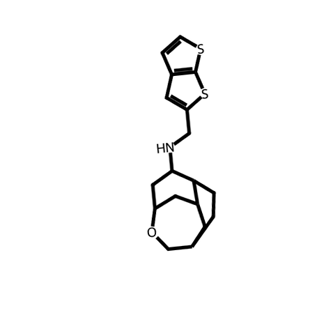 c1cc2cc(CNC3CC4CC5CC(CCC53)CO4)sc2s1